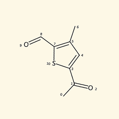 CC(=O)c1cc(C)c(C=O)s1